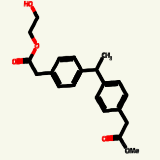 COC(=O)Cc1ccc(C(C)c2ccc(CC(=O)OCCO)cc2)cc1